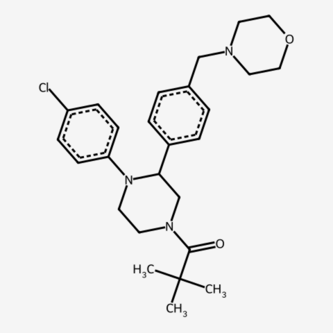 CC(C)(C)C(=O)N1CCN(c2ccc(Cl)cc2)C(c2ccc(CN3CCOCC3)cc2)C1